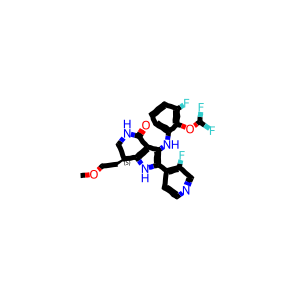 COCC[C@H]1CNC(=O)c2c1[nH]c(-c1ccncc1F)c2Nc1cccc(F)c1OC(F)F